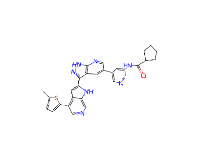 Cc1ccc(-c2cncc3[nH]c(-c4n[nH]c5ncc(-c6cncc(NC(=O)C7CCCC7)c6)cc45)cc23)s1